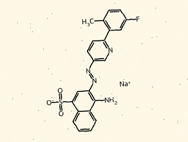 Cc1ccc(F)cc1-c1ccc(N=Nc2cc(S(=O)(=O)[O-])c3ccccc3c2N)cn1.[Na+]